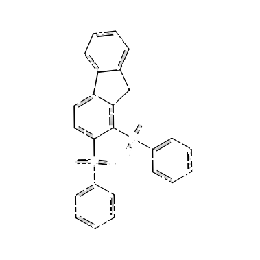 O=S(=O)(c1ccccc1)c1ccc2c(c1S(=O)(=O)c1ccccc1)Cc1ccccc1-2